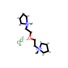 C[N+]1(CCOCC[N+]2(C)CCCC2)CCCC1.[Cl-].[Cl-]